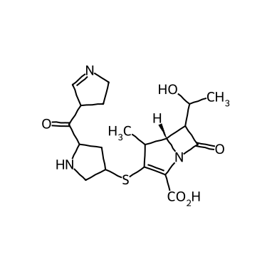 CC(O)C1C(=O)N2C(C(=O)O)=C(SC3CNC(C(=O)C4C=NCC4)C3)C(C)[C@H]12